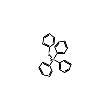 c1ccc(S[Se](c2ccccc2)(c2ccccc2)c2ccccc2)cc1